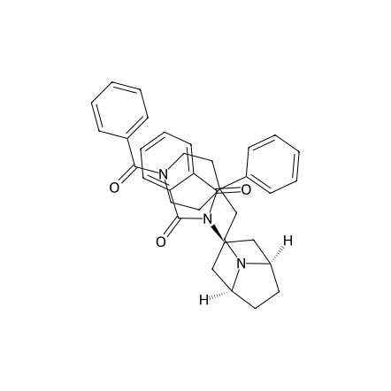 O=C(c1ccccc1)N1CCC(CCN2[C@@H]3CC[C@H]2C[C@@H](N2C(=O)c4ccccc4C2=O)C3)(c2ccccc2)CC1